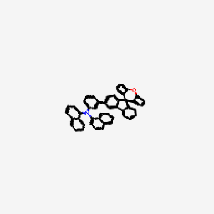 c1cc(-c2ccc3c(c2)-c2ccccc2C32c3ccccc3Oc3ccccc32)cc(N(c2cccc3ccccc23)c2cccc3ccccc23)c1